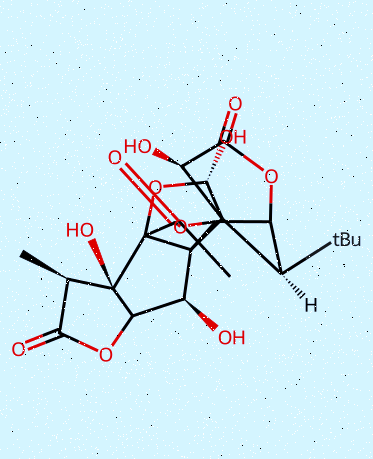 C[C@@H]1C(=O)OC2[C@H](O)C34C5OC(=O)C3(O[C@H](O)C43[C@@H](O)C(=O)OC5[C@H]3C(C)(C)C)[C@]21O